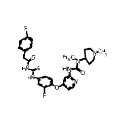 CN1CCC(N(C)C(=O)Nc2cc(Oc3ccc(NC(=S)NC(=O)Cc4ccc(F)cc4)cc3F)ccn2)CC1